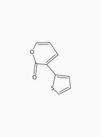 O=c1occcc1-c1cccs1